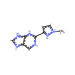 Cn1ccc(-c2ncc3nc[nH]c3n2)n1